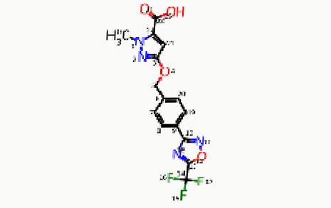 Cn1nc(OCc2ccc(-c3noc(C(F)(F)F)n3)cc2)cc1C(=O)O